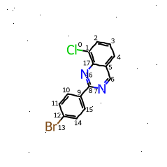 Clc1cccc2cnc(-c3ccc(Br)cc3)nc12